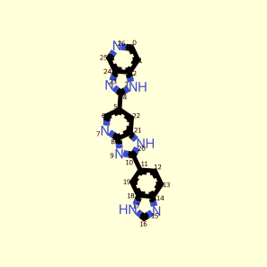 c1cc2[nH]c(-c3cnc4nc(-c5ccc6nc[nH]c6c5)[nH]c4c3)nc2cn1